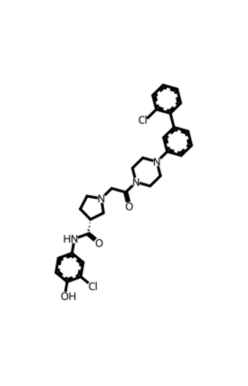 O=C(Nc1ccc(O)c(Cl)c1)[C@@H]1CCN(CC(=O)N2CCN(c3cccc(-c4ccccc4Cl)c3)CC2)C1